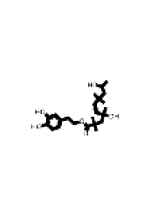 CC(O)CC(C)(C)/C=C\C(C)(O)CC(C)(C)C(=O)OCCc1ccc(O)c(O)c1